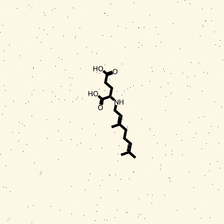 CC(C)=CCC/C(C)=C/CNC(CCC(=O)O)C(=O)O